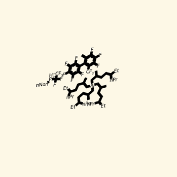 CCCC(CC)CCC(C)[CH2][Al-]([CH2]C(C)CCC(CC)CCC)([CH2]C(C)CCC(CC)CCC)[CH2]C(C)CCC(CC)CCC.CCCCCCCCC[PH2+]C(F)(F)C(F)(F)F.Cc1c(F)c(F)c(F)c(C(F)(F)F)c1-c1c(F)c(F)c(F)c(F)c1F